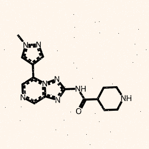 Cn1cc(-c2cncc3nc(NC(=O)C4CCNCC4)nn23)cn1